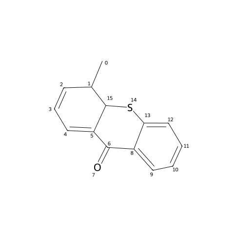 CC1C=CC=C2C(=O)c3ccccc3SC21